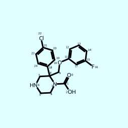 O=C(O)N1CCNCC1(COc1cccc(F)c1)c1ccc(Cl)cc1